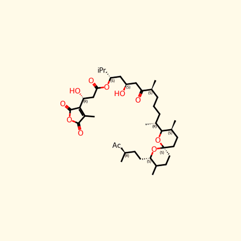 CC(=O)[C@H](C)CC[C@@H]1O[C@]2(CCC1C)CC[C@H](C)C([C@H](C)CCC[C@H](C)C(=O)C[C@@H](O)C[C@H](OC(=O)C[C@@H](O)C1=C(C)C(=O)OC1=O)C(C)C)O2